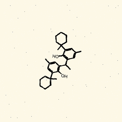 Cc1cc(C(C)c2cc(C)cc(C3(C)CCCCC3)c2O)c(O)c(C2(C)CCCCC2)c1